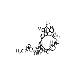 C=CC(=O)N1CCC[C@]12CCN(C(=O)N(C)[C@H](C(=O)[N+]1=CCC13Cc1nc(cs1)-c1ccc4c(c1)c(c(-c1cccnc1[C@H](C)OC)n4CC)CC(C)(C)COC(=O)[C@@H]1CCCN(NN1)C3=O)C(C)C)C2